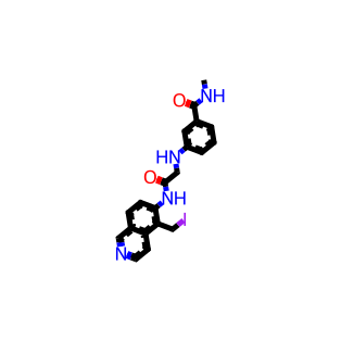 CNC(=O)c1cccc(NCC(=O)Nc2ccc3cnccc3c2CI)c1